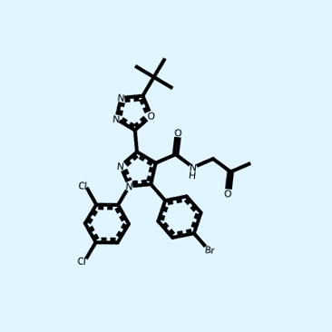 CC(=O)CNC(=O)c1c(-c2nnc(C(C)(C)C)o2)nn(-c2ccc(Cl)cc2Cl)c1-c1ccc(Br)cc1